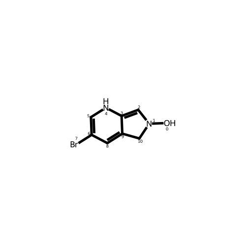 ON1C=C2NC=C(Br)C=C2C1